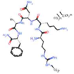 CC(=O)O.CC(=O)O.CC(=O)O.CC(C)[C@H](NC(=O)[C@H](CC(N)=O)NC(=O)[C@H](CCCCN)NC(=O)[C@H](N)CCCNC(=N)N)C(=O)N[C@H](Cc1ccccc1)C(N)=O